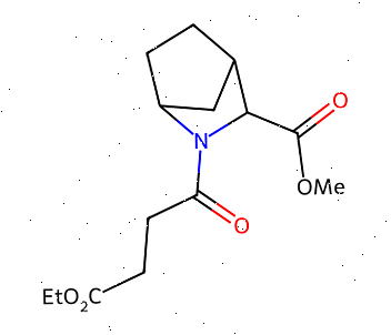 CCOC(=O)CCC(=O)N1C2CCC(C2)C1C(=O)OC